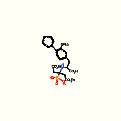 CCOC(=O)CC(CC(=O)OCC)(NC(Cc1ccc(-c2ccccc2)c(OC)c1)C(=O)O)P(=O)(O)O